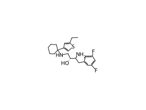 CCc1cc(C2(NC[C@@H](O)[C@@H](N)Cc3cc(F)cc(F)c3)CCCCC2)cs1